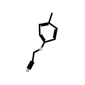 Cc1[c]cc(OCC#N)cc1